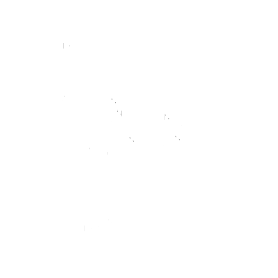 Cc1ccc(-c2ccc(C(C(=O)OCCCOS(=O)(=O)O)n3ccc4nc(-c5ccccc5F)nc-4c3)nn2)c(C(F)(F)F)c1